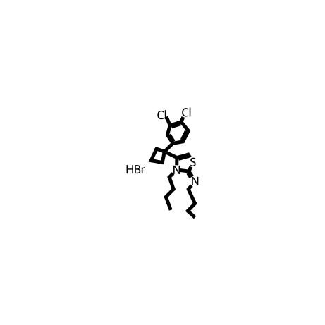 Br.CCCCN=c1scc(C2(c3ccc(Cl)c(Cl)c3)CCC2)n1CCCC